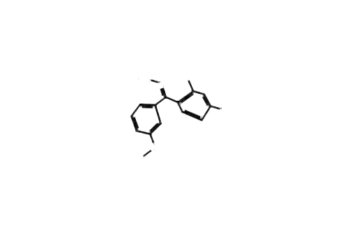 COc1cccc(/C(=N\O)c2ccc(F)cc2F)c1